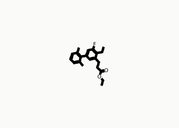 CCOC(=O)CCc1cc(-c2c(C)cccc2C)cc(F)c1CC